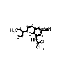 CCC(CC)C/C=C\c1cc(C#N)cc(NC(C)=O)c1C